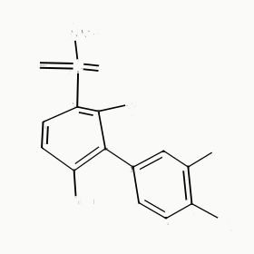 CCCCc1ccc(S(=O)(=O)NC)c(Br)c1-c1ccc(Cl)c(Cl)c1